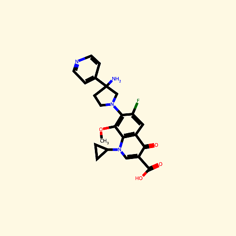 COc1c(N2CCC(N)(c3ccncc3)C2)c(F)cc2c(=O)c(C(=O)O)cn(C3CC3)c12